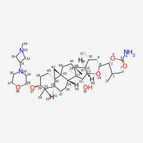 CC(C)[C@@H](OC(N)=O)[C@H]1C[C@@H](C)[C@H]2[C@H](O1)[C@H](O)[C@@]1(C)[C@@H]3CC[C@H]4C(C)(C)[C@@H](O[C@H]5CN(C6CN(C)C6)CCO5)CC[C@@]45C[C@@]35CC[C@]21C